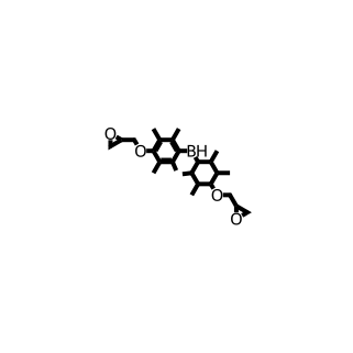 Cc1c(C)c(OCC2CO2)c(C)c(C)c1BC1C(C)C(C)C(OCC2CO2)C(C)C1C